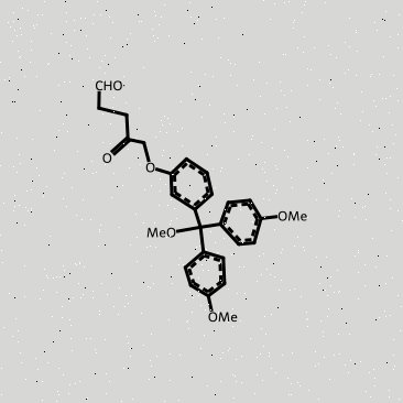 COc1ccc(C(OC)(c2ccc(OC)cc2)c2cccc(OCC(=O)CC[C]=O)c2)cc1